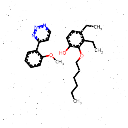 CCCCCCOc1c(O)ccc(CC)c1CC.COc1ccccc1-c1ccnnn1